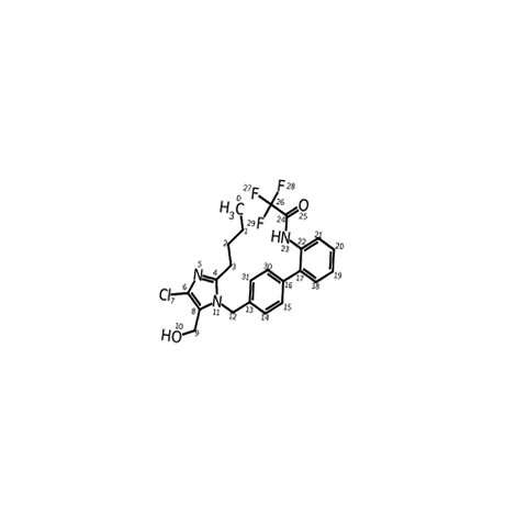 CCCCc1nc(Cl)c(CO)n1Cc1ccc(-c2ccccc2NC(=O)C(F)(F)F)cc1